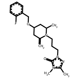 C=C1CC(OCc2ccccc2F)CC(C)N1CCCn1nc(C)n(C)c1=O